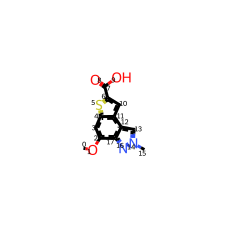 COc1cc2sc(C(=O)O)cc2c2cn(C)nc12